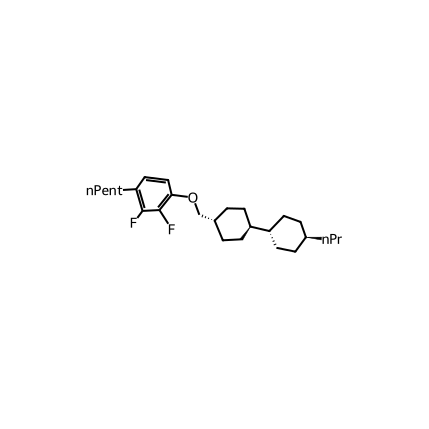 CCCCCc1ccc(OC[C@H]2CC[C@H]([C@H]3CC[C@H](CCC)CC3)CC2)c(F)c1F